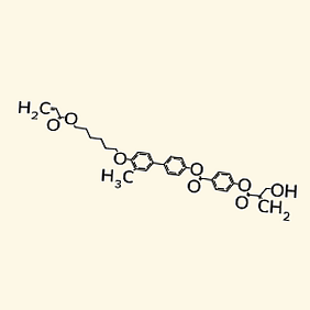 C=CC(=O)OCCCCCCOc1ccc(-c2ccc(OC(=O)c3ccc(OC(=O)C(=C)CO)cc3)cc2)cc1C